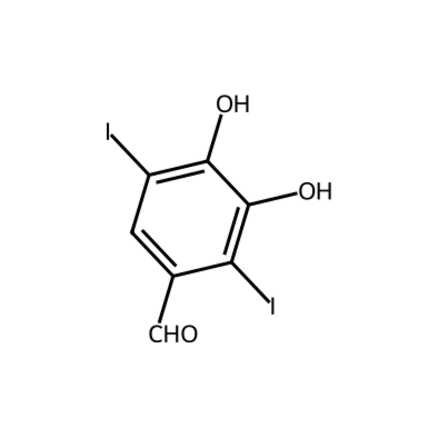 O=Cc1cc(I)c(O)c(O)c1I